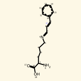 NC(CCCCN=C/C=C/c1ccccc1)C(=O)O